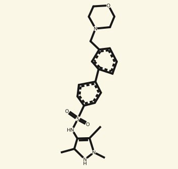 CC1=C(NS(=O)(=O)c2ccc(-c3cccc(CN4CCOCC4)c3)cc2)C(C)NN1C